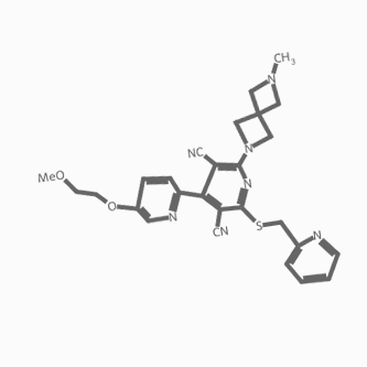 COCCOc1ccc(-c2c(C#N)c(SCc3ccccn3)nc(N3CC4(CN(C)C4)C3)c2C#N)nc1